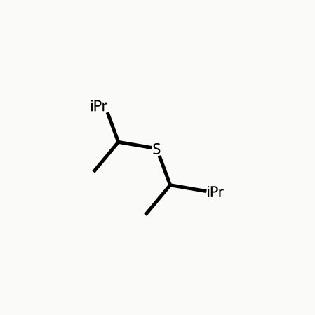 CC(C)C(C)SC(C)C(C)C